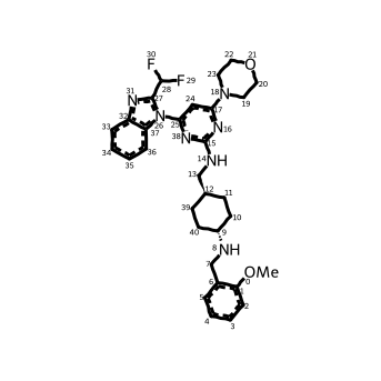 COc1ccccc1CN[C@H]1CC[C@H](CNc2nc(N3CCOCC3)cc(-n3c(C(F)F)nc4ccccc43)n2)CC1